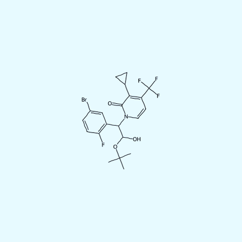 CC(C)(C)OC(O)C(c1cc(Br)ccc1F)n1ccc(C(F)(F)F)c(C2CC2)c1=O